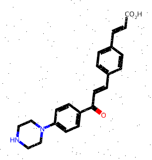 O=C(O)C=Cc1ccc(C=CC(=O)c2ccc(N3CCNCC3)cc2)cc1